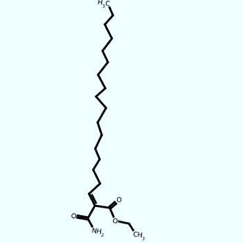 CCCCCCCCCCCCCCCCC=C(C(N)=O)C(=O)OCC